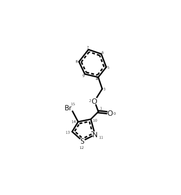 O=C(OCc1ccccc1)c1nscc1Br